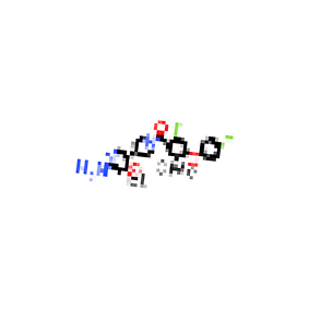 CCOc1cc(N)ncc1C1CCN(C(=O)c2cc(OC)c(Oc3ccc(F)cc3)cc2F)CC1